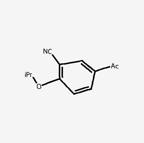 CC(=O)c1ccc(OC(C)C)c(C#N)c1